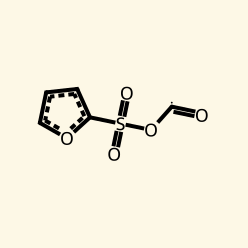 O=[C]OS(=O)(=O)c1ccco1